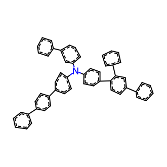 c1ccc(-c2ccc(-c3ccc(N(c4ccc(-c5ccc(-c6ccccc6)cc5-c5ccccc5)cc4)c4cccc(-c5ccccc5)c4)cc3)cc2)cc1